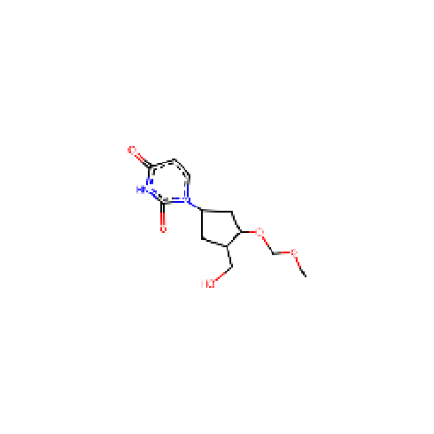 COCOC1CC(n2ccc(=O)[nH]c2=O)CC1CO